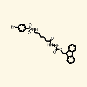 O=C(CCCCCNS(=O)(=O)c1ccc(Br)cc1)NNC(=O)OCC1c2ccccc2-c2ccccc21